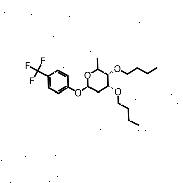 CCCCO[C@@H]1C[C@@H](Oc2ccc(C(F)(F)F)cc2)OC(C)[C@@H]1OCCCC